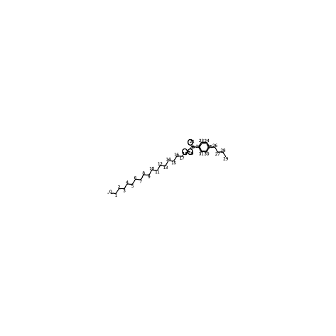 [CH2]CCCCCCCCCCCCCCCCCOOC(=O)c1ccc(CCCC)cc1